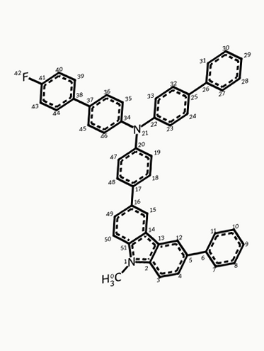 Cn1c2ccc(-c3ccccc3)cc2c2cc(-c3ccc(N(c4ccc(-c5ccccc5)cc4)c4ccc(-c5ccc(F)cc5)cc4)cc3)ccc21